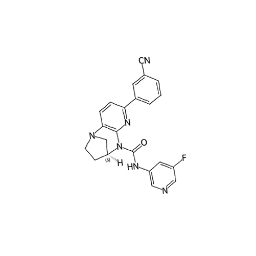 N#Cc1cccc(-c2ccc3c(n2)N(C(=O)Nc2cncc(F)c2)[C@H]2CCN3C2)c1